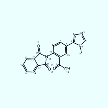 Cn1cncc1-c1ccc(N2C(=O)c3ccccc3C2=O)c(C(=O)O)c1